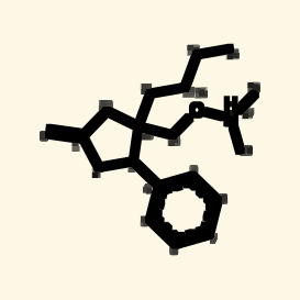 C=C1CC(c2ccccc2)C(CCCC)(CO[SiH](C)C)C1